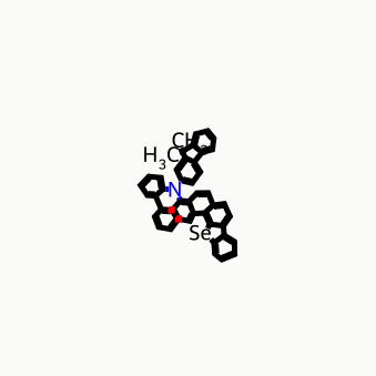 CC1(C)c2ccccc2-c2ccc(N(c3ccccc3-c3ccccc3)c3cccc4c3ccc3ccc5c6ccccc6[se]c5c34)cc21